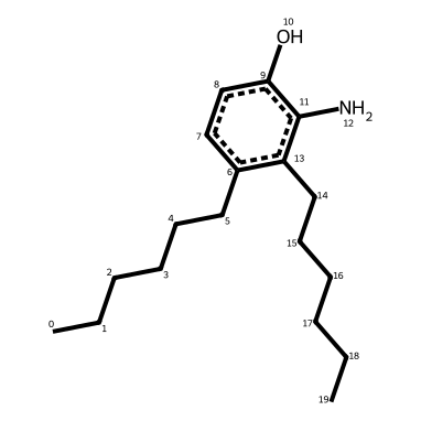 CCCCCCc1ccc(O)c(N)c1CCCCCC